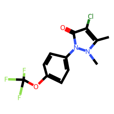 Cc1c(Cl)c(=O)n(-c2ccc(OC(F)(F)F)cc2)n1C